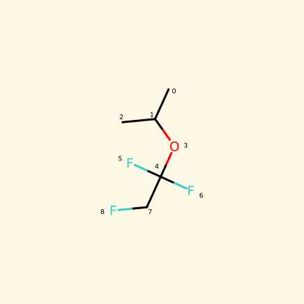 CC(C)OC(F)(F)CF